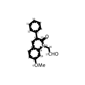 COc1ccc2cc(-c3ccccc3)c(=O)n(CC=O)c2c1